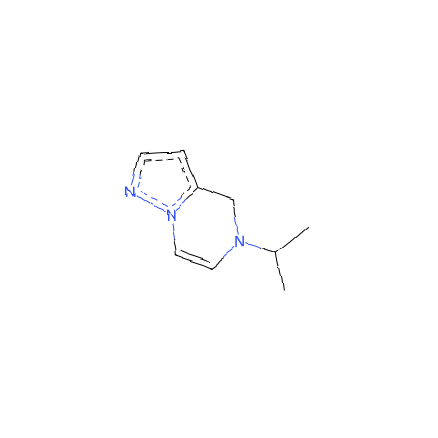 CC(C)N1C=Cn2nccc2C1